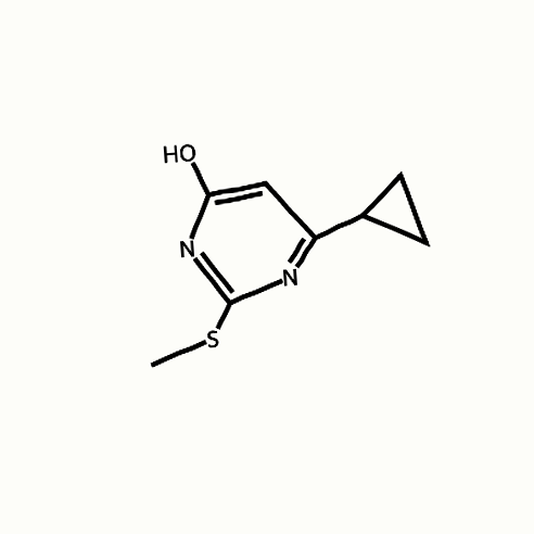 CSc1nc(O)cc(C2CC2)n1